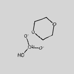 C1COCCO1.[O-][Cl+2]([O-])O